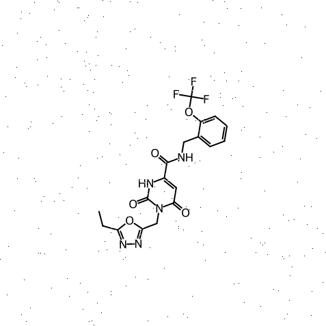 CCc1nnc(Cn2c(=O)cc(C(=O)NCc3ccccc3OC(F)(F)F)[nH]c2=O)o1